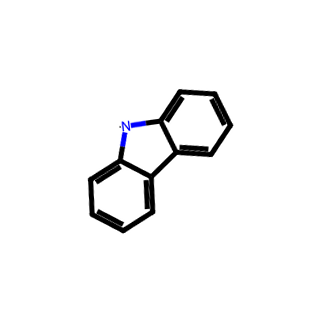 c1ccc2c(c1)[N]c1ccccc1-2